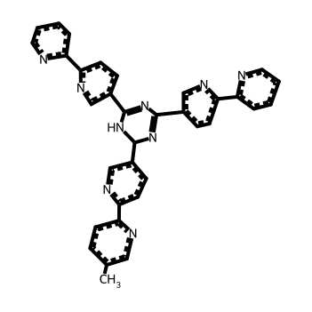 Cc1ccc(-c2ccc(C3N=C(c4ccc(-c5ccccn5)nc4)N=C(c4ccc(-c5ccccn5)nc4)N3)cn2)nc1